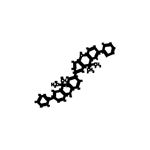 CC1(C)c2cc(-c3ccccc3)ccc2Oc2ccc(-c3ccc4c(c3)C(C)(C)c3cc(-c5ccccc5)ccc3S4)cc21